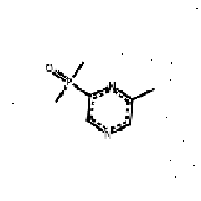 Cc1cncc(P(C)(C)=O)n1